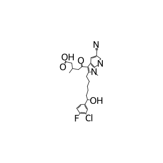 CC(CC(=O)O)CC(=O)c1c(CCCCCC(O)c2ccc(F)c(Cl)c2)n(C)c2ncc(C#N)cc12